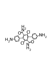 NC(=O)c1c(Cl)c(-c2ccc(N)cc2)c(C(N)=O)c(Cl)c1-c1ccc(N)cc1